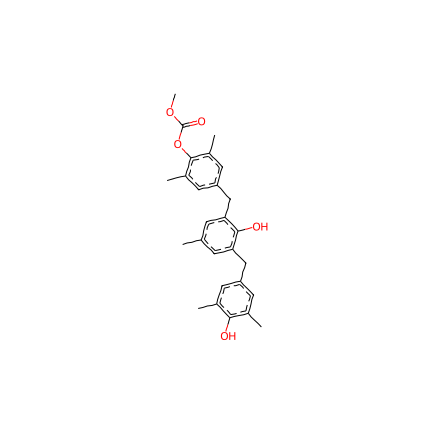 COC(=O)Oc1c(C)cc(Cc2cc(C)cc(Cc3cc(C)c(O)c(C)c3)c2O)cc1C